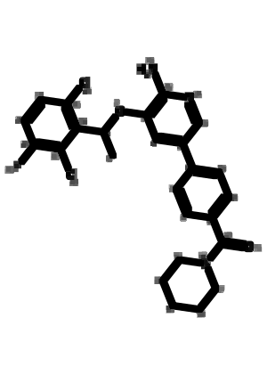 CC(Oc1cc(-c2ccc(C(=O)N3CCCCC3)cc2)cnc1N)c1c(Cl)ccc(F)c1Cl